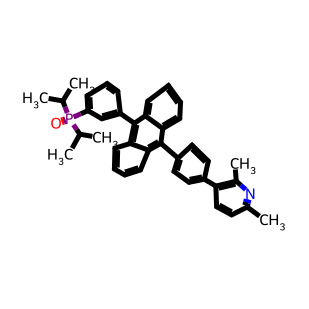 Cc1ccc(-c2ccc(-c3c4ccccc4c(-c4cccc(P(=O)(C(C)C)C(C)C)c4)c4ccccc34)cc2)c(C)n1